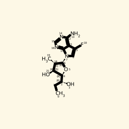 CC[C@@H](O)[C@H]1O[C@@H](n2cc(F)c3c(N)ncnc32)[C@@H](C)[C@@H]1O